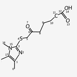 Cc1nc(SCC(=O)CCCCC(=O)O)n(C)c1C